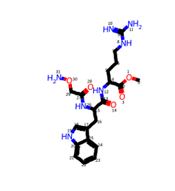 COC(=O)C(CCCNC(=N)N)NC(=O)C(Cc1c[nH]c2ccccc12)NC(=O)CON